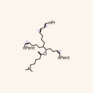 C=C(CCCCN(C)C)OC(CC/C=C\CCCCC)C(CCC/C=C\C=C\CCC)CCC/C=C\CCCCC